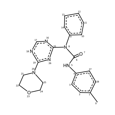 Cc1ccc(NC(=O)N(c2ccccc2)c2ncnc(N3CCOCC3)n2)cc1